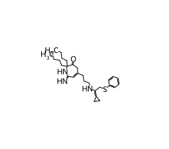 CCCCC1(CCCC)NC(=N)C=C(CCCNC(CSc2ccccc2)=C2CC2)CC1=O